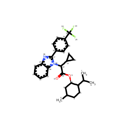 CC1CCC(C(C)C)[C@H](OC(=O)C(C2CC2)n2c(-c3ccc(C(F)(F)F)cc3)nc3ccccc32)C1